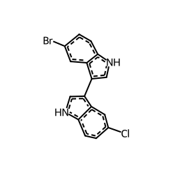 Clc1ccc2[nH]cc(-c3c[nH]c4ccc(Br)cc34)c2c1